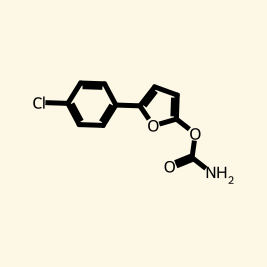 NC(=O)Oc1ccc(-c2ccc(Cl)cc2)o1